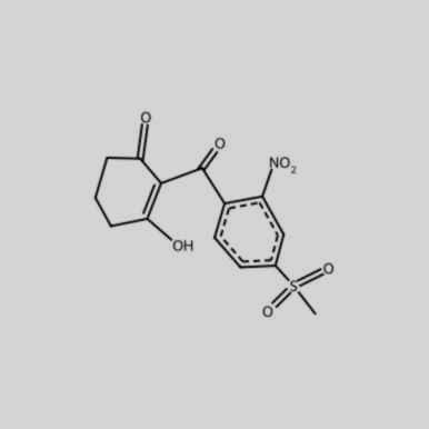 CS(=O)(=O)c1ccc(C(=O)C2=C(O)CCCC2=O)c([N+](=O)[O-])c1